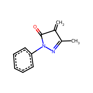 C=C1C(=O)N(c2ccccc2)N=C1C